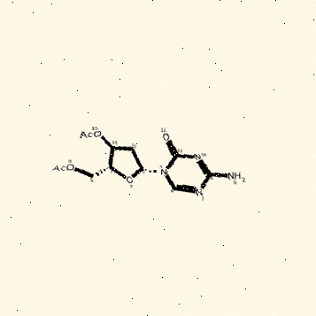 CC(=O)OC[C@H]1O[C@@H](n2cnc(N)nc2=O)CC1OC(C)=O